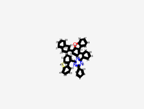 C1=C(c2nc(-c3ccccc3)nc(-c3ccccc3-c3ccc(-c4ccc5ccccc5c4)c4oc5ccccc5c34)n2)c2c(sc3ccccc23)CC1